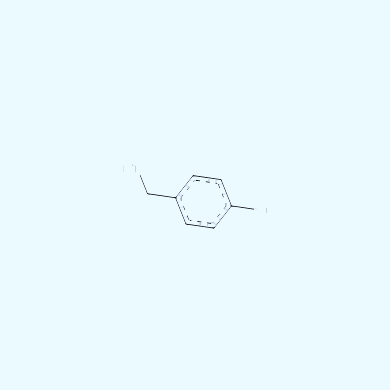 CCc1ccc(C[C](C)C)cc1